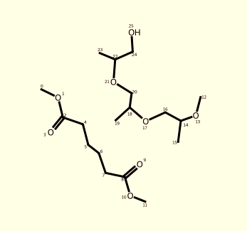 COC(=O)CCCCC(=O)OC.COC(C)COC(C)COC(C)CO